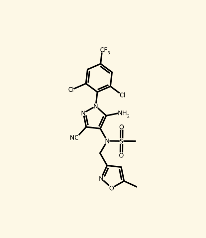 Cc1cc(CN(c2c(C#N)nn(-c3c(Cl)cc(C(F)(F)F)cc3Cl)c2N)S(C)(=O)=O)no1